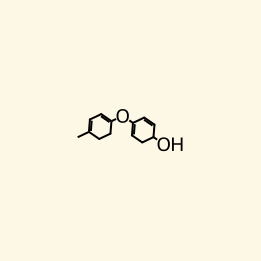 CC1=CC=C(OC2=CCC(O)C=C2)CC1